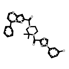 CC1(C)CN(C(=O)c2cc3nccc(-c4ccccc4)n3n2)CCN1C(=O)c1ncn(-c2cccc(Cl)c2)n1